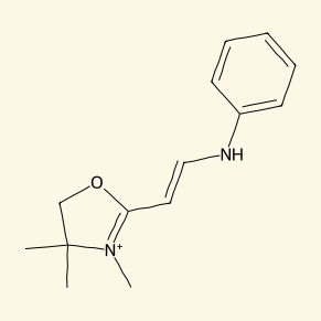 C[N+]1=C(C=CNc2ccccc2)OCC1(C)C